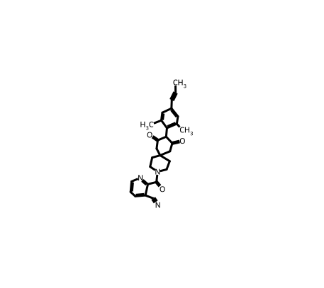 CC#Cc1cc(C)c(C2C(=O)CC3(CCN(C(=O)c4ncccc4C#N)CC3)CC2=O)c(C)c1